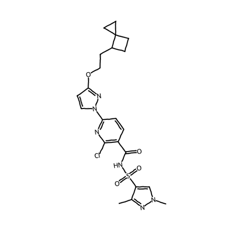 Cc1nn(C)cc1S(=O)(=O)NC(=O)c1ccc(-n2ccc(OCCC3CCC34CC4)n2)nc1Cl